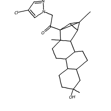 CC1(O)CCC2C(CCC3C2CCC2(C)C3C3C4C3(C)C42C(=O)Cn2cc(Cl)cn2)C1